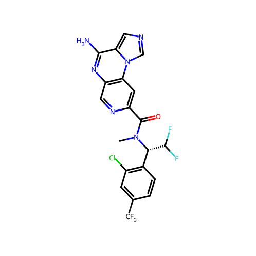 CN(C(=O)c1cc2c(cn1)nc(N)c1cncn12)[C@@H](c1ccc(C(F)(F)F)cc1Cl)C(F)F